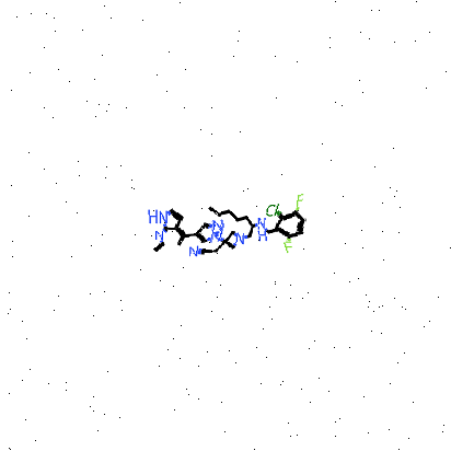 C=C/N=C1/NC=C/C1=C(/C)c1cnn(C2(CC#N)CN(CC(CCCCC)NCc3c(F)ccc(F)c3Cl)C2)c1